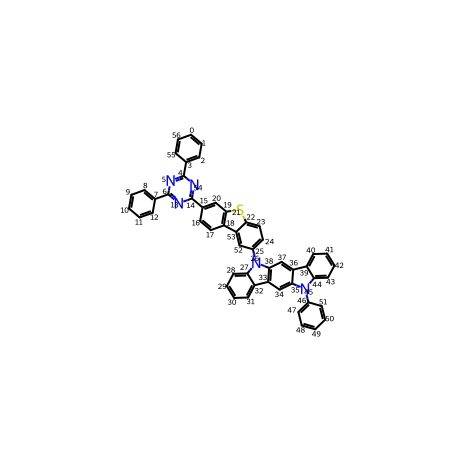 c1ccc(-c2nc(-c3ccccc3)nc(-c3ccc4c(c3)sc3ccc(-n5c6ccccc6c6cc7c(cc65)c5ccccc5n7-c5ccccc5)cc34)n2)cc1